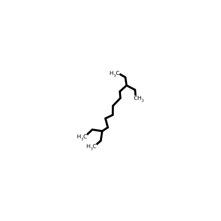 CCC(CC)CCCCCCC(CC)CC